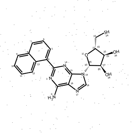 Nc1nc(-c2cccc3ccccc23)nc2c1ncn2[C@@H]1O[C@H](CS)[C@@H](O)[C@H]1O